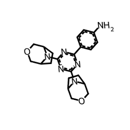 Nc1ccc(-c2nc(N3C4CCC3COC4)nc(N3C4CCC3COC4)n2)cc1